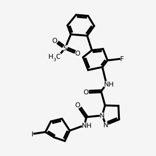 CS(=O)(=O)c1ccccc1-c1ccc(NC(=O)C2CC=NN2C(=O)Nc2ccc(I)cc2)c(F)c1